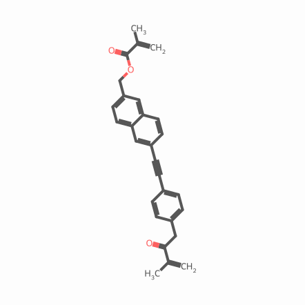 C=C(C)C(=O)Cc1ccc(C#Cc2ccc3cc(COC(=O)C(=C)C)ccc3c2)cc1